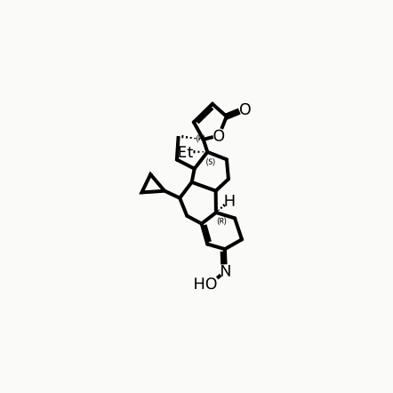 CC[C@]12CCC3C(C(C4CC4)CC4=CC(=NO)CC[C@@H]43)C1CC[C@@]21C=CC(=O)O1